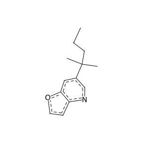 CCCC(C)(C)c1cnc2ccoc2c1